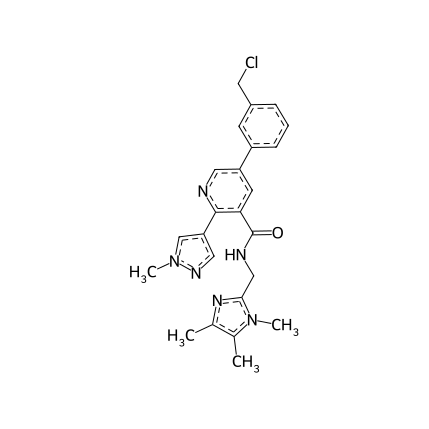 Cc1nc(CNC(=O)c2cc(-c3cccc(CCl)c3)cnc2-c2cnn(C)c2)n(C)c1C